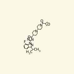 CC(C)c1nn(-c2noc(C3CCN(C4CCN(C(=O)C5COC5)CC4)CC3)n2)c2c(F)cccc12